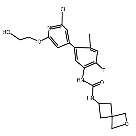 Cc1cc(F)c(NC(=O)NC2CC3(COC3)C2)cc1-c1cc(Cl)nc(OCCO)c1